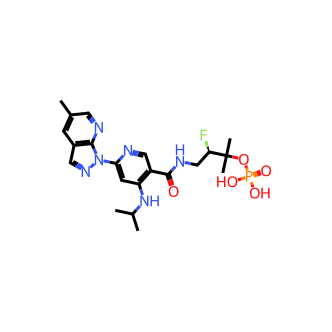 Cc1cnc2c(cnn2-c2cc(NC(C)C)c(C(=O)NC[C@@H](F)C(C)(C)OP(=O)(O)O)cn2)c1